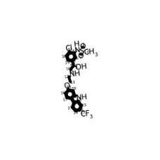 CS(=O)(=O)Nc1cc([C@H](O)CNCCOc2ccc3c(c2)[nH]c2cc(C(F)(F)F)ccc23)ccc1Cl